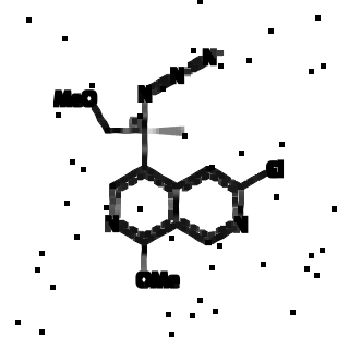 COC[C@@](C)(N=[N+]=[N-])c1cnc(OC)c2cnc(Cl)cc12